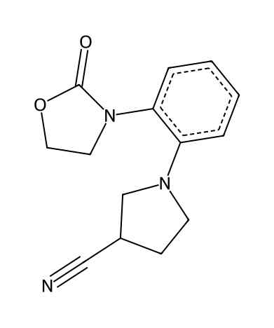 N#CC1CCN(c2ccccc2N2CCOC2=O)C1